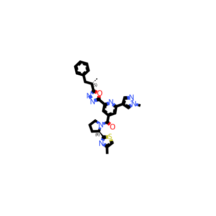 Cc1csc([C@H]2CCCN2C(=O)c2cc(-c3cnn(C)c3)nc(-c3nnc([C@@H](C)Cc4ccccc4)o3)c2)n1